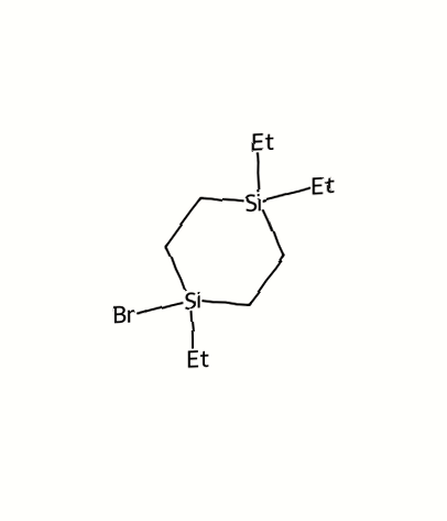 CC[Si]1(Br)CC[Si](CC)(CC)CC1